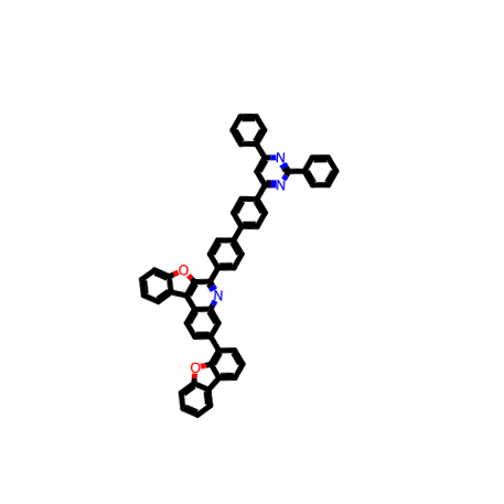 c1ccc(-c2cc(-c3ccc(-c4ccc(-c5nc6cc(-c7cccc8c7oc7ccccc78)ccc6c6c5oc5ccccc56)cc4)cc3)nc(-c3ccccc3)n2)cc1